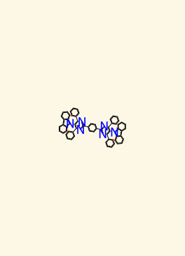 c1ccc(-c2nc(-c3ccc(-c4nc(-c5ccccc5)c(-n5c6ccccc6c6ccccc65)c(-c5ccccc5)n4)cc3)nc(-c3ccccc3)c2-n2c3ccccc3c3ccccc32)cc1